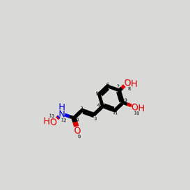 O=C(/C=C/c1ccc(O)c(O)c1)NO